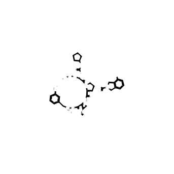 C=C[C@@H]1C[C@@]12NC(=O)[C@@H]1C[C@@H](OC(=O)N3Cc4cccc(F)c4C3)CN1C(=O)[C@@H](NC(=O)OC1CCCC1)CCCCCNc1cccc(c1)CS(=O)(=O)NC2=O